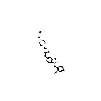 CC1CN(C(=O)OC(C)(C)C)CCN1C1=NC(=O)C(=Cc2ccc3c(cnn3Cc3ccc(Cl)cc3C(F)(F)F)c2)S1